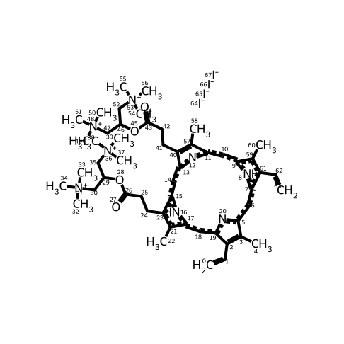 C=CC1=C(C)c2cc3[nH]c(cc4nc(cc5[nH]c(cc1n2)c(C)c5CCC(=O)OC(C[N+](C)(C)C)C[N+](C)(C)C)C(CCC(=O)OC(C[N+](C)(C)C)C[N+](C)(C)C)=C4C)c(C)c3C=C.[I-].[I-].[I-].[I-]